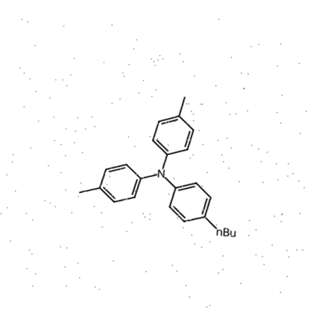 CCCCc1ccc(N(c2ccc(C)cc2)c2ccc(C)cc2)cc1